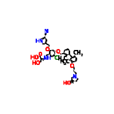 Cc1ccc(OCCCN2CC[C@@H](O)C2)c(C)c1-c1cccc(COc2cc(OCC3=CC(C#N)=CNC3)c(CN[C@@H](CO)C(=O)O)cc2Cl)c1C